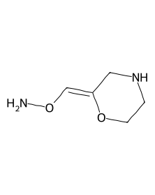 NO/C=C1/CNCCO1